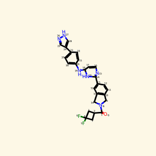 O=C(C1CC(F)(F)C1)N1Cc2ccc(C3=NC=CC(Nc4ccc(-c5cn[nH]c5)cc4)N3)cc2C1